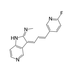 C/N=C1/Nc2ccncc2/C1=C/C=C/c1ccc(F)nc1